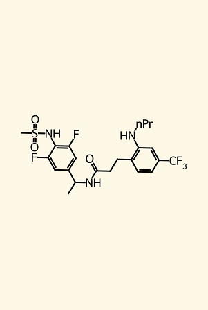 CCCNc1cc(C(F)(F)F)ccc1CCC(=O)NC(C)c1cc(F)c(NS(C)(=O)=O)c(F)c1